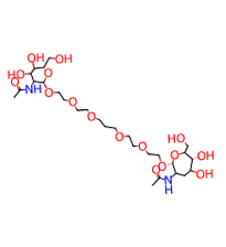 CC(=O)NC1CC(O)[C@@H](O)C(CO)O[C@H]1OCCOCCOCCCOCCOCCO[C@@H]1OC(CO)[C@H](O)C(O)C1NC(C)=O